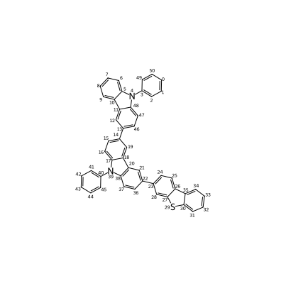 c1ccc(-n2c3ccccc3c3cc(-c4ccc5c(c4)c4cc(-c6ccc7c(c6)sc6ccccc67)ccc4n5-c4ccccc4)ccc32)cc1